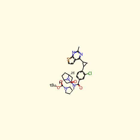 Cc1nc(C2CC2c2ccc(C(=O)N(C)C3C[C@H]4CC[C@@H](C3)N4C(=O)[C@@H]3CCCN3C(=O)OC(C)(C)C)cc2Cl)c2ccsc2n1